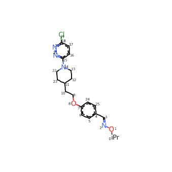 CC(C)ON=Cc1ccc(OCCC2CCN(c3ccc(Cl)nn3)CC2)cc1